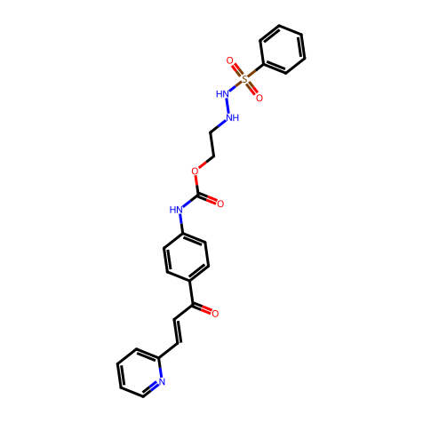 O=C(Nc1ccc(C(=O)C=Cc2ccccn2)cc1)OCCNNS(=O)(=O)c1ccccc1